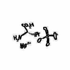 CC(C)[C@H](N)C(=O)O.O=S(=O)([O-])[O-].[Mg+2]